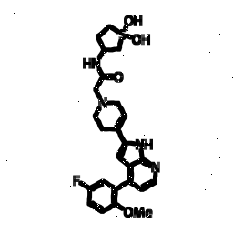 COc1ccc(F)cc1-c1ccnc2[nH]c(C3=CCN(CC(=O)NC4CCS(O)(O)C4)CC3)cc12